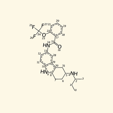 CCC(C)NC1CCc2[nH]c3ccc(NC(=O)c4ccccc4OC(F)(F)F)cc3c2C1